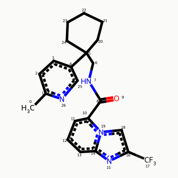 Cc1ccc(C2(CNC(=O)c3cccc4nc(C(F)(F)F)cn34)CCCCC2)cn1